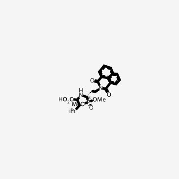 COP(=O)(OC)[C@@H](CCN1C(=O)c2cccc3cccc(c23)C1=O)NC(CC(C)C)C(=O)O